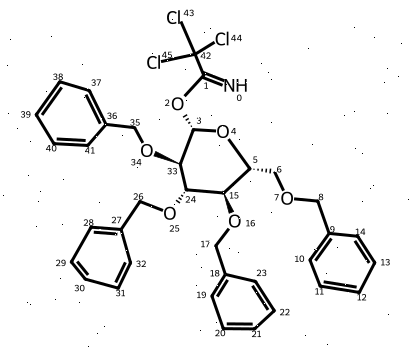 N=C(O[C@@H]1O[C@H](COCc2ccccc2)[C@@H](OCc2ccccc2)[C@H](OCc2ccccc2)[C@H]1OCc1ccccc1)C(Cl)(Cl)Cl